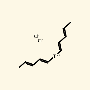 CC=CC=[CH][Ti+2][CH]=CC=CC.[Cl-].[Cl-]